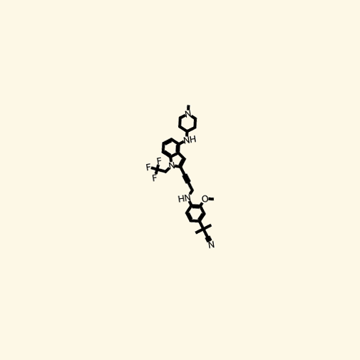 COc1cc(C(C)(C)C#N)ccc1NCC#Cc1cc2c(NC3CCN(C)CC3)cccc2n1CC(F)(F)F